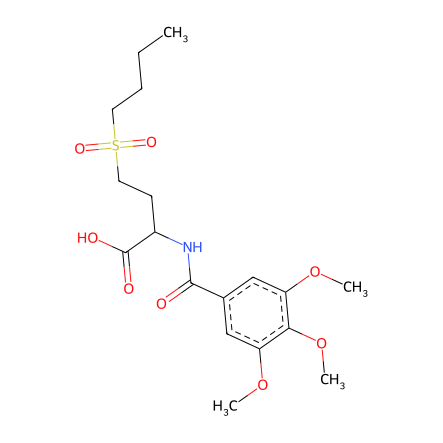 CCCCS(=O)(=O)CCC(NC(=O)c1cc(OC)c(OC)c(OC)c1)C(=O)O